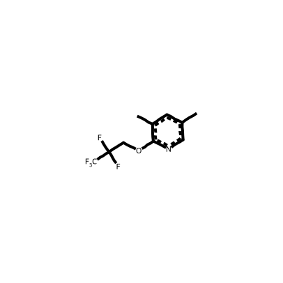 Cc1cnc(OCC(F)(F)C(F)(F)F)c(C)c1